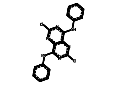 Clc1nc(Nc2ccccc2)c2nc(Cl)nc(Nc3ccccc3)c2n1